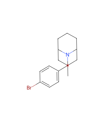 CC1CC2CCCC(C1)N2Cc1ccc(Br)cc1